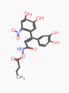 CCCC(=O)ONC(=O)/C=C(\c1ccc(O)c(O)c1)c1cc(O)c(O)cc1[N+](=O)[O-]